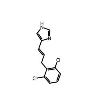 Clc1cccc(Cl)c1CC=Cc1c[nH]cn1